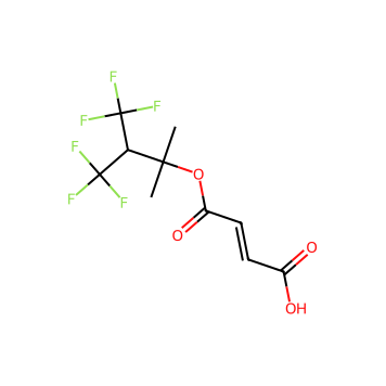 CC(C)(OC(=O)/C=C/C(=O)O)C(C(F)(F)F)C(F)(F)F